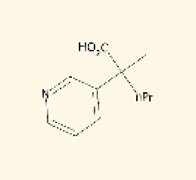 CCCC(C)(C(=O)O)c1cccnc1